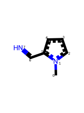 Cn1cccc1C=N